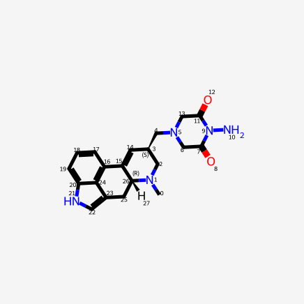 CN1C[C@H](CN2CC(=O)N(N)C(=O)C2)C=C2c3cccc4[nH]cc(c34)C[C@H]21